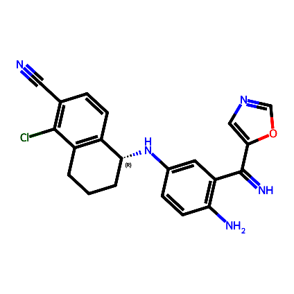 N#Cc1ccc2c(c1Cl)CCC[C@H]2Nc1ccc(N)c(C(=N)c2cnco2)c1